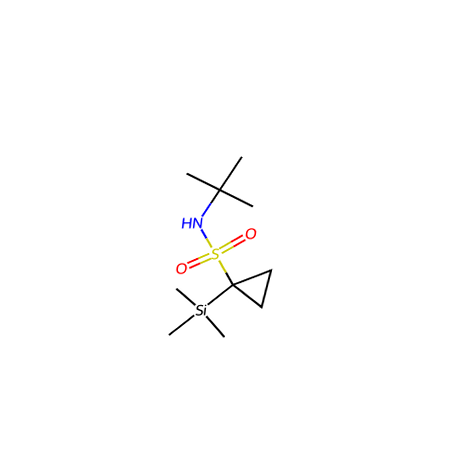 CC(C)(C)NS(=O)(=O)C1([Si](C)(C)C)CC1